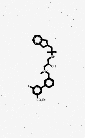 CCOC(=O)c1cc(F)cc(-c2cccc(CN(C)C[C@H](O)CNC(C)(C)CC3Cc4ccccc4C3)c2)c1